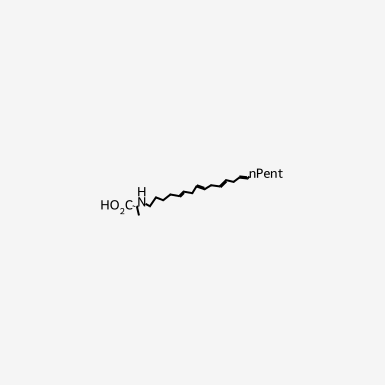 CCCCCC=CCC=CCC=CCC=CCCCCN[C@H](C)C(=O)O